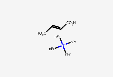 CCC[N+](CCC)(CCC)CCC.O=C(O)/C=C/C(=O)O